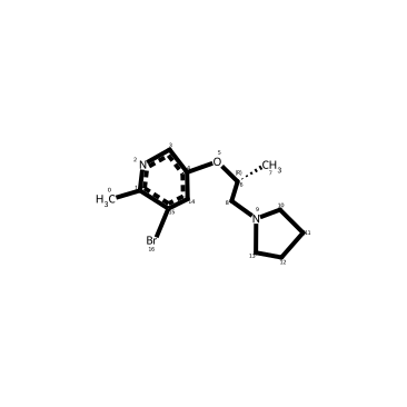 Cc1ncc(O[C@H](C)CN2CCCC2)cc1Br